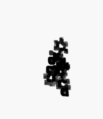 CN(Cc1ccccc1)C(=O)c1nnc2cc(-c3ccc(Cl)cc3)c(-c3ccccc3Cl)nn12